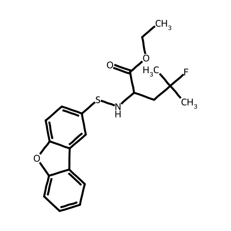 CCOC(=O)C(CC(C)(C)F)NSc1ccc2oc3ccccc3c2c1